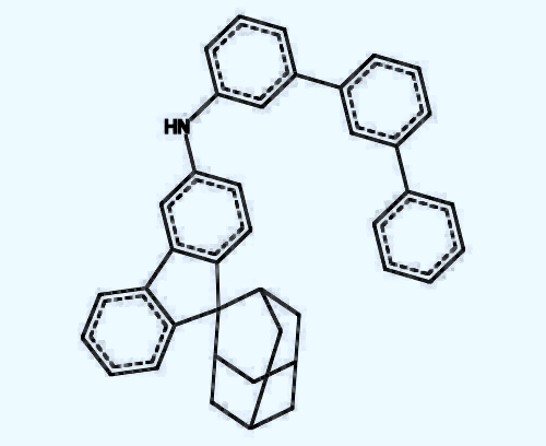 c1ccc(-c2cccc(-c3cccc(Nc4ccc5c(c4)-c4ccccc4C54C5CC6CC(C5)CC4C6)c3)c2)cc1